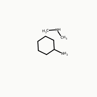 CNC.NC1CCCCC1